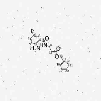 Nc1ccc(I)cc1C(=O)NCCC(=O)OCc1ccccc1